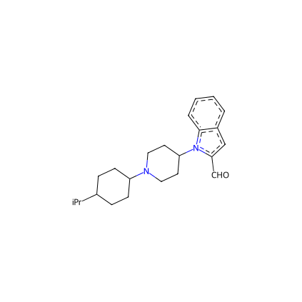 CC(C)C1CCC(N2CCC(n3c(C=O)cc4ccccc43)CC2)CC1